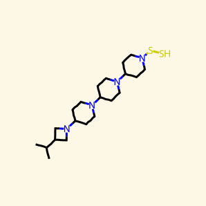 CC(C)C1CN(C2CCN(C3CCN(C4CCN(SS)CC4)CC3)CC2)C1